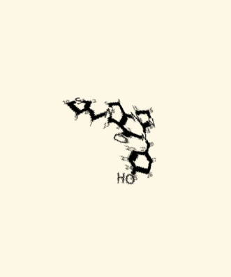 O=C1C2=C(CCN(Cc3ccsc3)C2)N2CCN=C2N1Cc1ccc(O)cc1